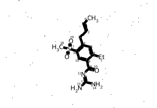 C/C=C/Cc1cc(CC)c(C(=O)N=C(N)N)cc1S(C)(=O)=O